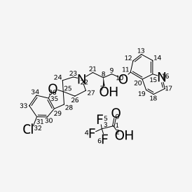 O=C(O)C(F)(F)F.O[C@H](COc1cccc2ncccc12)CN1CCC2(CC1)Cc1cc(Cl)ccc1O2